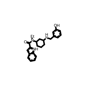 CCN(C(=O)c1cc2ccccc2[nH]1)C1CCCC(NCc2cccc(O)c2)C1